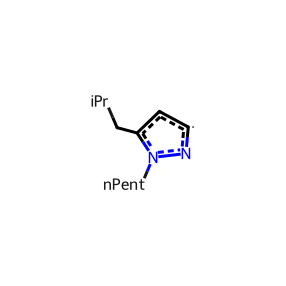 CCCCCn1n[c]cc1CC(C)C